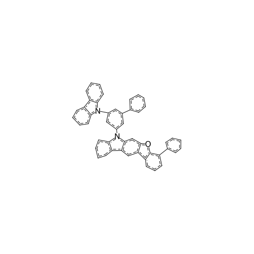 c1ccc(-c2cc(-n3c4ccccc4c4ccccc43)cc(-n3c4ccccc4c4cc5c(cc43)oc3c(-c4ccccc4)cccc35)c2)cc1